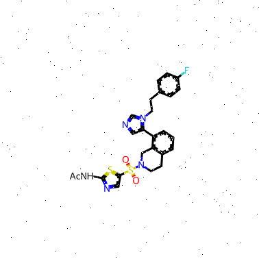 CC(=O)Nc1ncc(S(=O)(=O)N2CCc3cccc(-c4cncn4CCc4ccc(F)cc4)c3C2)s1